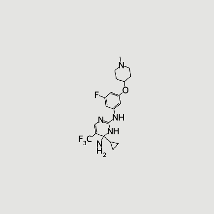 CN1CCC(Oc2cc(F)cc(NC3=NC=C(C(F)(F)F)C(N)(C4CC4)N3)c2)CC1